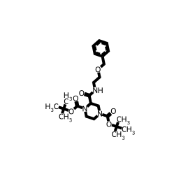 CC(C)(C)OC(=O)N1CCN(C(=O)OC(C)(C)C)C(C(=O)NCCOCc2ccccc2)C1